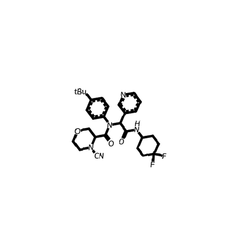 CC(C)(C)c1ccc(N(C(=O)C2COCCN2C#N)C(C(=O)NC2CCC(F)(F)CC2)c2cccnc2)cc1